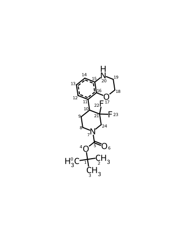 CC(C)(C)OC(=O)N1CCC(c2cccc3c2OCCN3)C(F)(F)C1